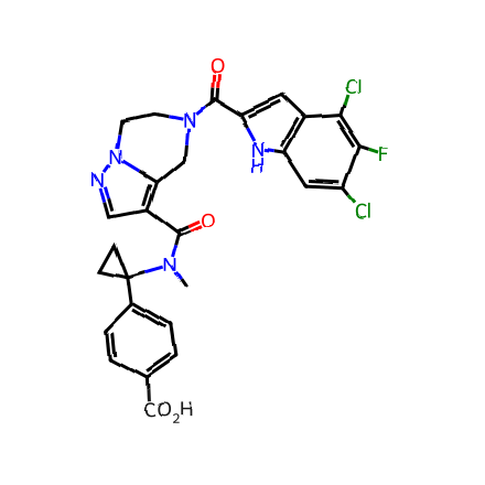 CN(C(=O)c1cnn2c1CN(C(=O)c1cc3c(Cl)c(F)c(Cl)cc3[nH]1)CC2)C1(c2ccc(C(=O)O)cc2)CC1